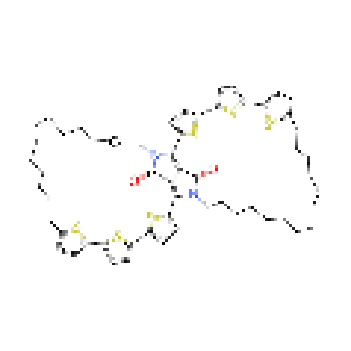 CCCCCCCCN1C(=O)C2=C(c3ccc(-c4ccc(-c5ccc(CCCCCC)s5)s4)s3)N(CCCCCCCC)C(=O)C2=C1c1ccc(-c2ccc(-c3ccc(CCCCCC)s3)s2)s1